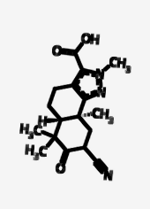 Cn1nc2c(c1C(=O)O)CC[C@H]1C(C)(C)C(=O)C(C#N)C[C@]21C